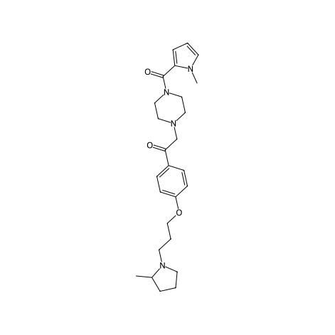 CC1CCCN1CCCOc1ccc(C(=O)CN2CCN(C(=O)c3cccn3C)CC2)cc1